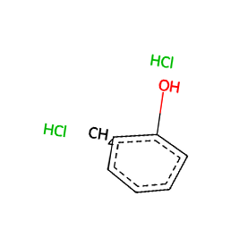 C.Cl.Cl.Oc1ccccc1